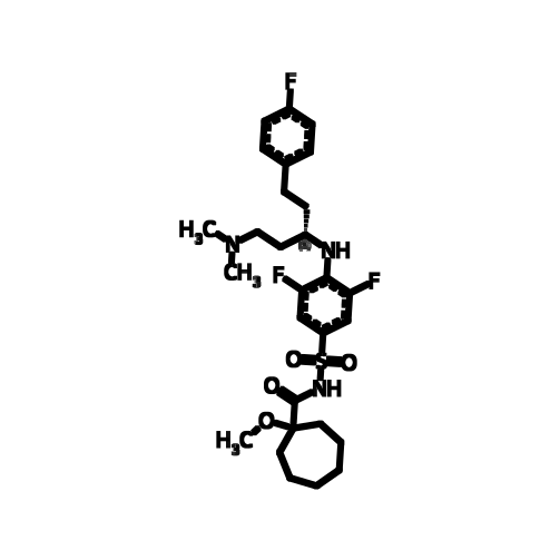 COC1(C(=O)NS(=O)(=O)c2cc(F)c(N[C@@H](CCc3ccc(F)cc3)CCN(C)C)c(F)c2)CCCCCC1